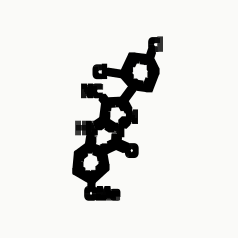 COc1ccc2[nH]c3c(C#N)c(-c4ccc(Cl)cc4Cl)nn3c(=O)c2c1